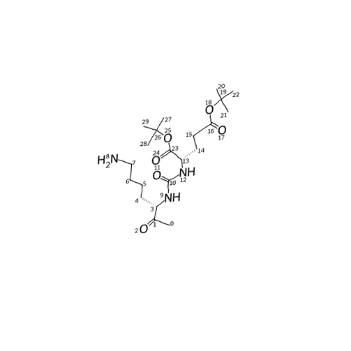 CC(=O)[C@H](CCCCN)NC(=O)N[C@@H](CCC(=O)OC(C)(C)C)C(=O)OC(C)(C)C